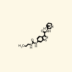 CCCNC(=O)Nc1ccc2c(C(=O)N[C@@H]3CN4CCC3CC4)nsc2c1